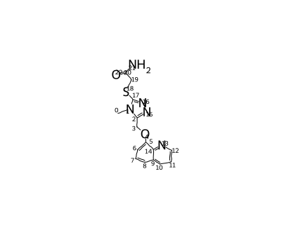 Cn1c(COc2cccc3cccnc23)nnc1SCC(N)=O